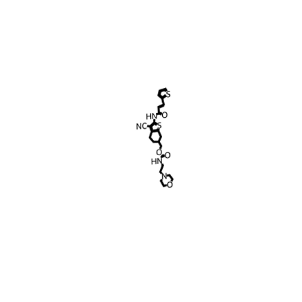 N#Cc1c(NC(=O)C=Cc2cccs2)sc2c1CCC(COC(=O)NCCN1CCOCC1)C2